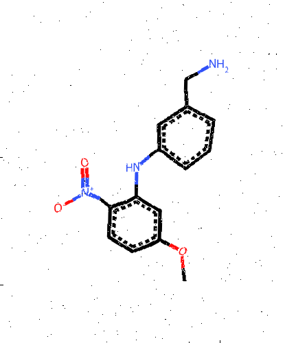 COc1ccc([N+](=O)[O-])c(Nc2cccc(CN)c2)c1